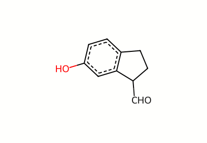 O=CC1CCc2ccc(O)cc21